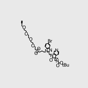 C#CCOCCOCCOCCOCCS(=O)(=O)CCCn1c(CN2C(=O)C3(CN(C(=O)OC(C)(C)C)C3)c3ccncc32)nc2cc(Br)ccc21